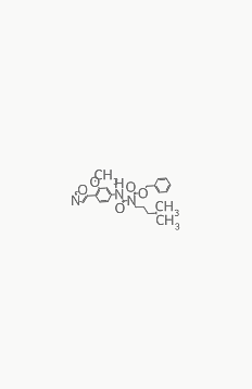 COc1cc(NC(=O)N(CCCC(C)C)C(=O)OCc2ccccc2)ccc1-c1cnco1